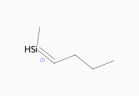 CCC/C=[SiH]\C